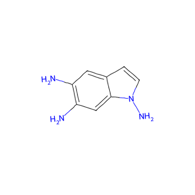 Nc1cc2ccn(N)c2cc1N